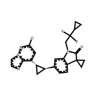 O=C1N(CC(F)(F)C2CC2)c2cc([C@H]3C[C@@H]3c3cc(Cl)nn4ccnc34)ccc2C12CC2